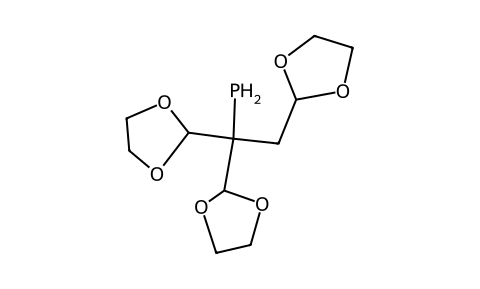 PC(CC1OCCO1)(C1OCCO1)C1OCCO1